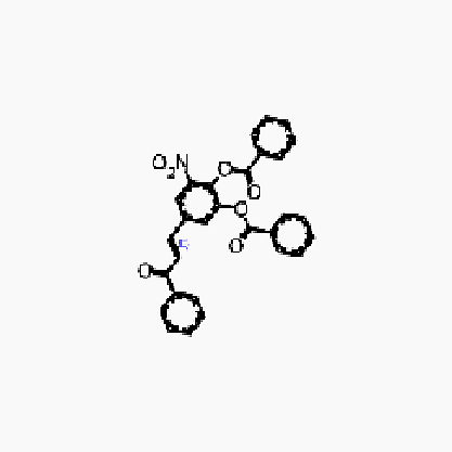 O=C(/C=C/c1cc(OC(=O)c2ccccc2)c(OC(=O)c2ccccc2)c([N+](=O)[O-])c1)c1ccccc1